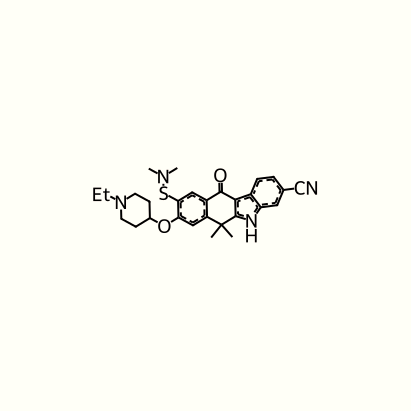 CCN1CCC(Oc2cc3c(cc2SN(C)C)C(=O)c2c([nH]c4cc(C#N)ccc24)C3(C)C)CC1